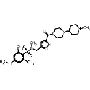 COc1cc(C)c(S(=O)(=O)N(C)Cc2cc(C(=O)N3CCN(C4CCN(C)CC4)CC3)no2)c(C)c1